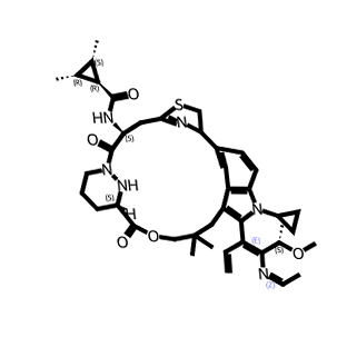 C=C/C(=C(\N=C/C)[C@H](C)OC)c1c2c3cc(ccc3n1C1CC1)C1CSC(=N1)C[C@H](NC(=O)[C@H]1[C@H](C)[C@@H]1C)C(=O)N1CCC[C@H](N1)C(=O)OCC(C)(C)C2